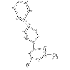 Cc1cc(C)cc(-c2ccc(-c3ccccn3)cn2)c1